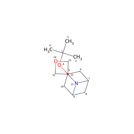 CC(C)(C)OC1CC2CC(C1)N2C1COC1